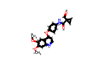 COc1cc2nccc(Oc3ccc(NC(=O)C4(C=O)CC4)cc3)c2cc1OC